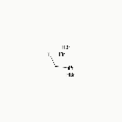 Br.Br.Br.CC(C)[CH2][Ti]